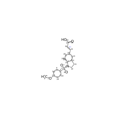 COc1ccc(S(=O)(=O)N2CCc3cc(/C=C/C(=O)O)cnc32)cc1